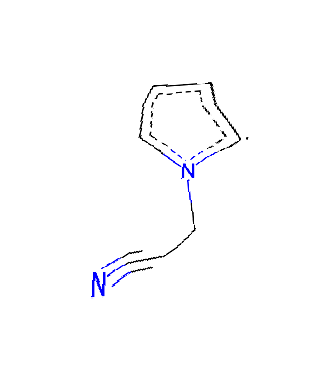 N#CCn1[c]ccc1